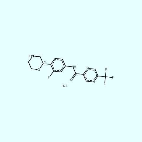 Cl.O=C(Nc1ccc([C@H]2CNCCO2)c(F)c1)c1cnc(C(F)(F)F)cn1